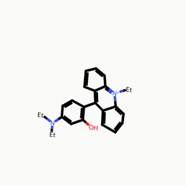 CCN(CC)c1ccc(-c2c3ccccc3[n+](CC)c3ccccc23)c(O)c1